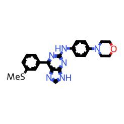 CSc1cccc(-c2nc(Nc3ccc(N4CCOCC4)cc3)nc3[nH]cnc23)c1